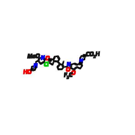 COc1nc(O[C@H]2CCc3c(-c4cccc(-c5nc6cc7c(c(OC(F)(F)F)c6o5)CC[C@H]7N5CC[C@@H](C(=O)O)C5)c4C)cccc32)c(Cl)cc1CN1CC[C@@H](O)C1